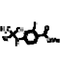 COC(=O)c1ccc(NC(C)(C)C#N)cc1F